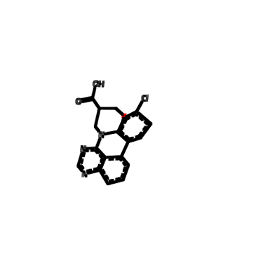 O=C(O)C1CCCN(c2ncnc3cccc(-c4ccc(Cl)cc4)c23)C1